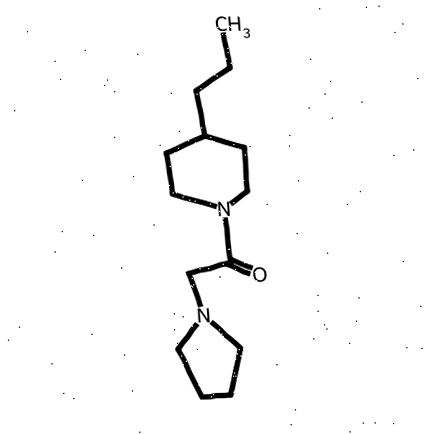 CCCC1CCN(C(=O)CN2CCCC2)CC1